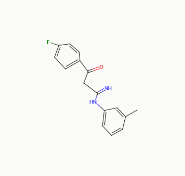 Cc1cccc(NC(=N)CC(=O)c2ccc(F)cc2)c1